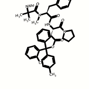 CNC(C)(C)C(=O)N(C)[C@@H](Cc1ccccc1)C(=O)N[C@@H](CC(=O)OC(c1ccccc1)(c1ccc(C)cc1)c1ccccc1Cl)C(=O)N1CCCC1